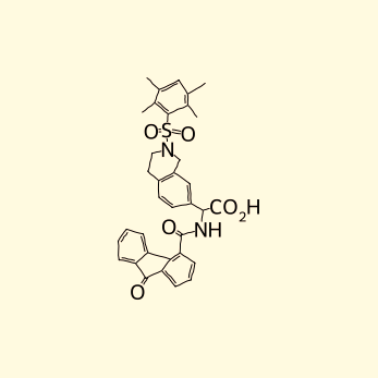 Cc1cc(C)c(C)c(S(=O)(=O)N2CCc3ccc(C(NC(=O)c4cccc5c4-c4ccccc4C5=O)C(=O)O)cc3C2)c1C